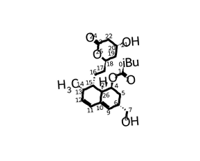 CC[C@H](C)C(=O)O[C@H]1C[C@H](CO)C=C2C=C[C@H](C)[C@H](CC[C@@H]3C[C@@H](O)CC(=O)O3)[C@H]21